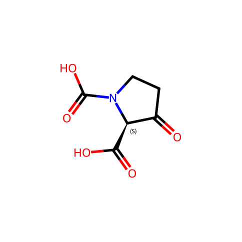 O=C(O)[C@@H]1C(=O)CCN1C(=O)O